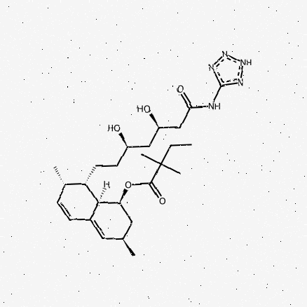 CCC(C)(C)C(=O)O[C@H]1C[C@@H](C)C=C2C=C[C@H](C)[C@H](CC[C@@H](O)C[C@@H](O)CC(=O)Nc3nn[nH]n3)[C@H]21